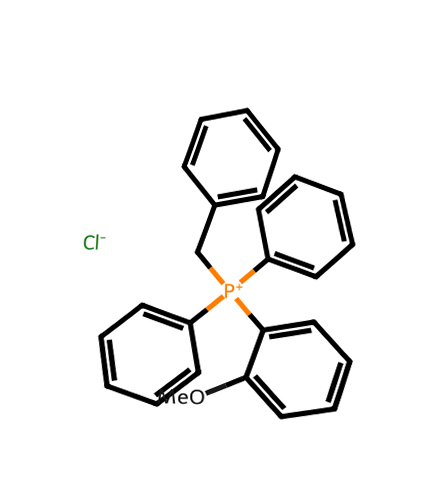 COc1ccccc1[P+](Cc1ccccc1)(c1ccccc1)c1ccccc1.[Cl-]